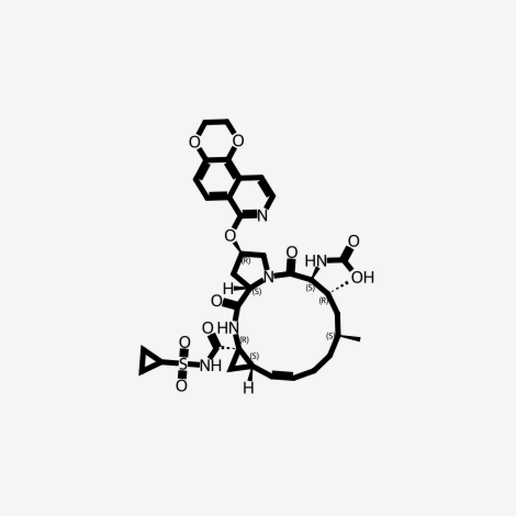 C[C@H]1CCC=C[C@@H]2C[C@@]2(C(=O)NS(=O)(=O)C2CC2)NC(=O)[C@@H]2C[C@@H](Oc3nccc4c5c(ccc34)OCCO5)CN2C(=O)[C@@H](NC(=O)O)[C@H](C)C1